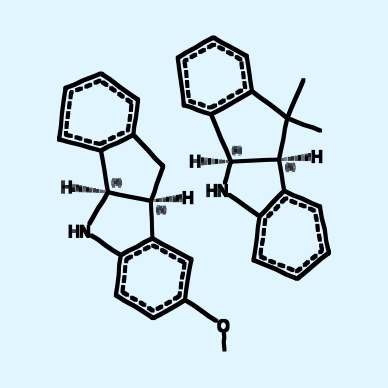 CC1(C)c2ccccc2[C@@H]2Nc3ccccc3[C@@H]21.COc1ccc2c(c1)[C@@H]1Cc3ccccc3[C@@H]1N2